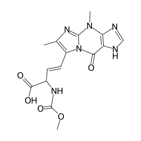 COC(=O)NC(/C=C/c1c(C)nc2n(C)c3nc[nH]c3c(=O)n12)C(=O)O